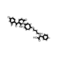 Nc1c(C(=O)c2ccc(F)cc2F)ccc(=O)n1C1=CC=C(OCCCN[C@H](C(=O)O)c2ccccc2)CC=C1